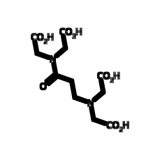 O=C(O)CN(CCC(=O)N(CC(=O)O)CC(=O)O)CC(=O)O